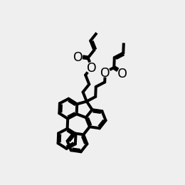 CC=CC(=O)OCCCC1(CCCOC(=O)C=CC)c2cccc(-c3ccccc3)c2-c2c(-c3ccccc3)cccc21